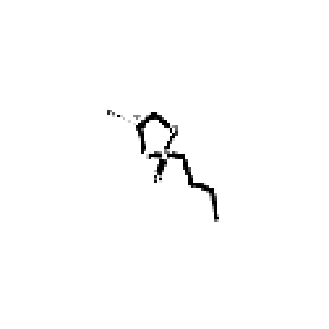 CCCCP1(=O)OC[C@@H](C)O1